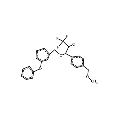 COCc1ccc(C(OCc2cccc(Oc3ccccc3)c2)C(Cl)C(F)(F)F)cc1